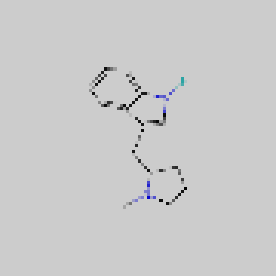 CN1CCCC1Cc1cn(F)c2ccccc12